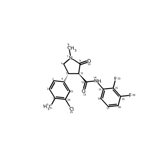 Cc1ccc([C@@H]2CN(C)C(=O)[C@H]2C(=O)Nc2cccc(F)c2F)cc1Cl